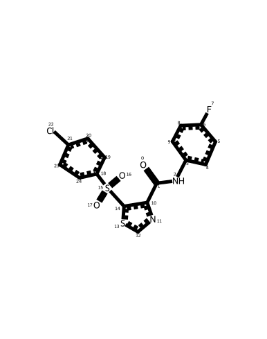 O=C(Nc1ccc(F)cc1)c1ncsc1S(=O)(=O)c1ccc(Cl)cc1